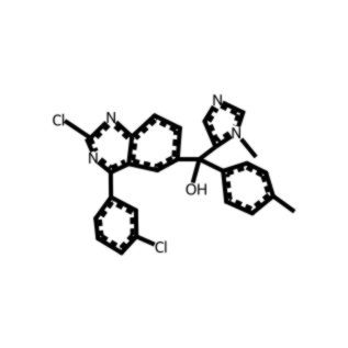 Cc1ccc(C(O)(c2ccc3nc(Cl)nc(-c4cccc(Cl)c4)c3c2)c2cncn2C)cc1